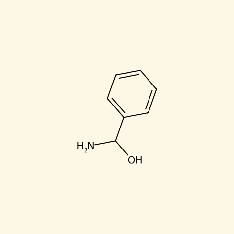 NC(O)c1ccccc1